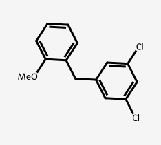 COc1ccccc1Cc1cc(Cl)[c]c(Cl)c1